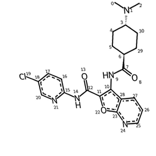 CN(C)[C@H]1CC[C@H](C(=O)Nc2c(C(=O)Nc3ccc(Cl)cn3)oc3ncccc23)CC1